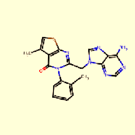 Cc1ccccc1-n1c(Cn2cnc3c(N)ncnc32)nc2scc(C)c2c1=O